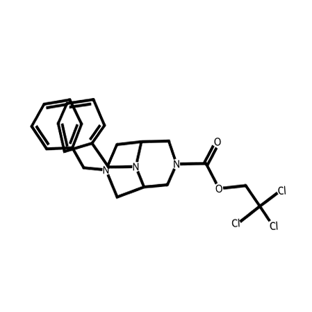 O=C(OCC(Cl)(Cl)Cl)N1CC2CN(Cc3ccccc3)CC(C1)N2Cc1ccccc1